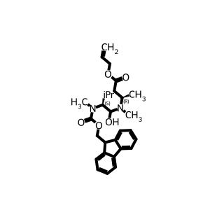 C=CCOC(=O)C[C@@H](C)N(C)C(O)[C@H](C(C)C)N(C)C(=O)OCC1c2ccccc2-c2ccccc21